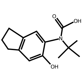 CC(C)(C)N(C(=O)O)c1cc2c(cc1O)CCC2